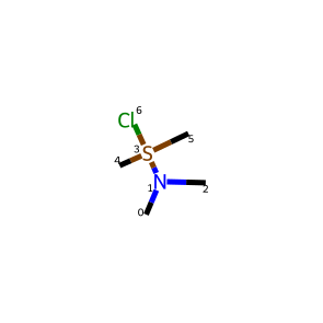 CN(C)S(C)(C)Cl